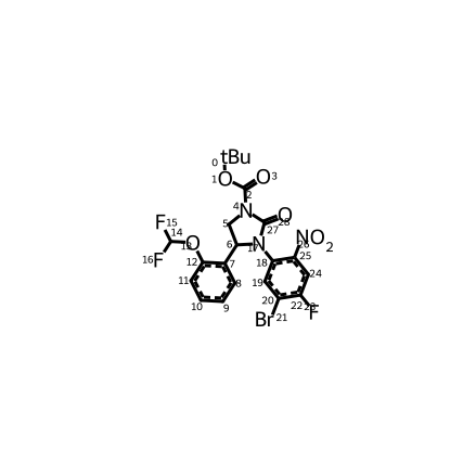 CC(C)(C)OC(=O)N1CC(c2ccccc2OC(F)F)N(c2cc(Br)c(F)cc2[N+](=O)[O-])C1=O